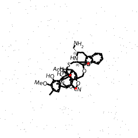 COc1c(C)cc2c(c1O)[C@H]1[C@H]3C(C4COC(=O)[C@]5(CS[C@@H]3c3c(OC(C)=O)c(C)c6c(c34)OCO6)N[C@H](CN)Cc3c5oc4ccccc34)C(C#N)(C2)CN1C